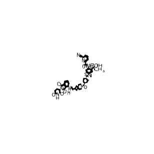 CC(C)(O)c1cc2nc([C@H]3CC[C@H](C(=O)N4CCC5(CC4)CC(CCNc4cccc6c4C(=O)N(C4CCC(=O)NC4=O)C6=O)C5)CC3)sc2cc1NC(=O)c1cccc(C#N)n1